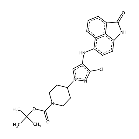 CC(C)(C)OC(=O)N1CCC(n2cc(Nc3ccc4c5c(cccc35)C(=O)N4)c(Cl)n2)CC1